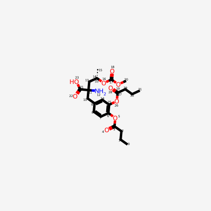 CCCC(=O)Oc1ccc(CC(N)(C[C@H](C)OC(=O)OC)C(=O)O)cc1OC(=O)CCC